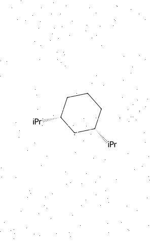 CC(C)[C@@H]1[CH][C@H](C(C)C)CCC1